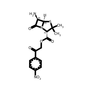 CC1(C)S[C@@H]2[C@H](N)C(=O)N2[C@H]1C(=O)OCC(=O)c1ccc([N+](=O)[O-])cc1